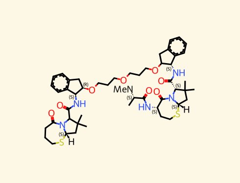 CN[C@@H](C)C(=O)N[C@H]1CCS[C@H]2CC(C)(C)[C@@H](C(=O)N[C@H]3c4ccccc4CC3OCCCOCCCO[C@@H]3Cc4ccccc4[C@@H]3NC(=O)C3N4C(=O)CCCS[C@H]4CC3(C)C)N2C1=O